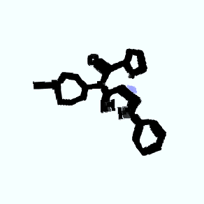 CN1CCCC(N(C(=N)/C=C\Nc2ccccc2)C(=O)c2cccs2)CC1